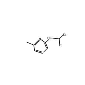 CCC(CC)Nc1cncc(C)n1